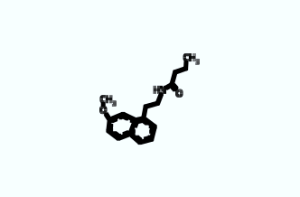 CCCC(=O)NCCc1cccc2ccc(OC)cc12